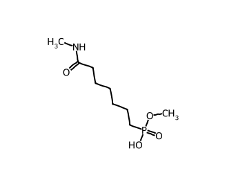 CNC(=O)CCCCCCP(=O)(O)OC